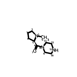 CN1CCC[C@@H]1C(=O)N1CCNCC1